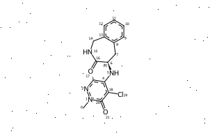 Cn1ncc(N[C@@H]2Cc3ccccc3CNC2=O)c(Cl)c1=O